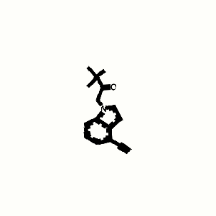 C#Cc1cccc2c1ccn2CC(=O)C(C)(C)C